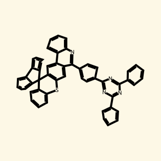 c1ccc(-c2nc(-c3ccccc3)nc(-c3ccc(-c4nc5ccccc5c5cc6c(cc45)Sc4ccccc4C64c5ccccc5-c5ccccc54)cc3)n2)cc1